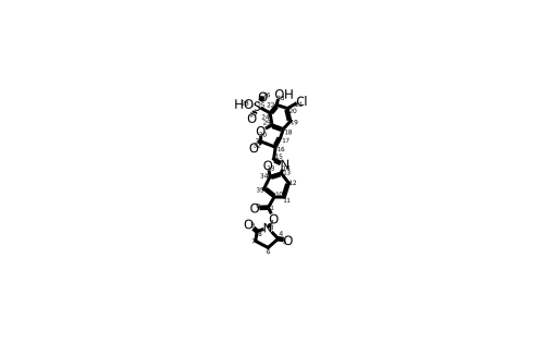 O=C(ON1C(=O)CCC1=O)c1ccc2nc(-c3cc4cc(Cl)c(O)c(S(=O)(=O)O)c4oc3=O)oc2c1